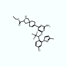 CCOC(=O)C1CC2(CC=C(c3cc(OC(c4ccc(Cl)cc4-n4ccc(C)n4)C(F)(F)F)nc(N)n3)CC2)CN1